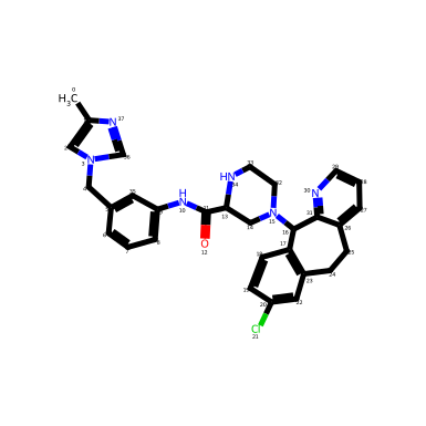 Cc1cn(Cc2cccc(NC(=O)C3CN(C4c5ccc(Cl)cc5CCc5cccnc54)CCN3)c2)cn1